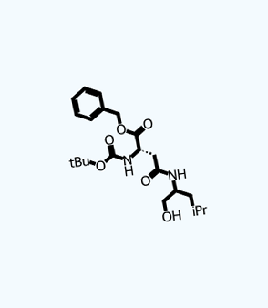 CC(C)CC(CO)NC(=O)C[C@H](NC(=O)OC(C)(C)C)C(=O)OCc1ccccc1